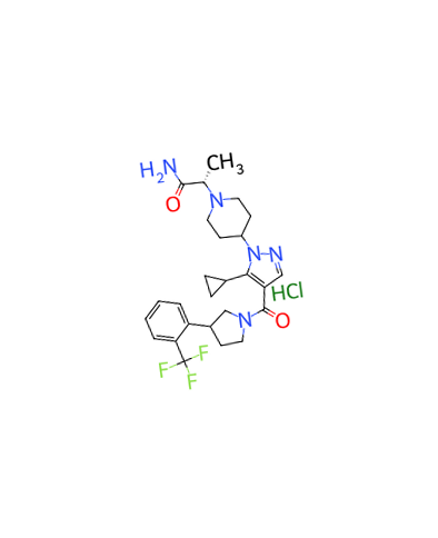 C[C@@H](C(N)=O)N1CCC(n2ncc(C(=O)N3CCC(c4ccccc4C(F)(F)F)C3)c2C2CC2)CC1.Cl